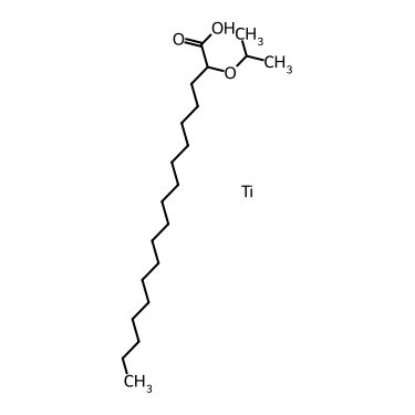 CCCCCCCCCCCCCCCCC(OC(C)C)C(=O)O.[Ti]